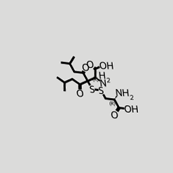 CC(C)CC(=O)C(SSC[C@H](N)C(=O)O)(C(=O)CC(C)C)[C@H](N)C(=O)O